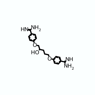 N=C(N)c1ccc(OCCCC(O)COc2ccc(C(=N)N)cc2)cc1